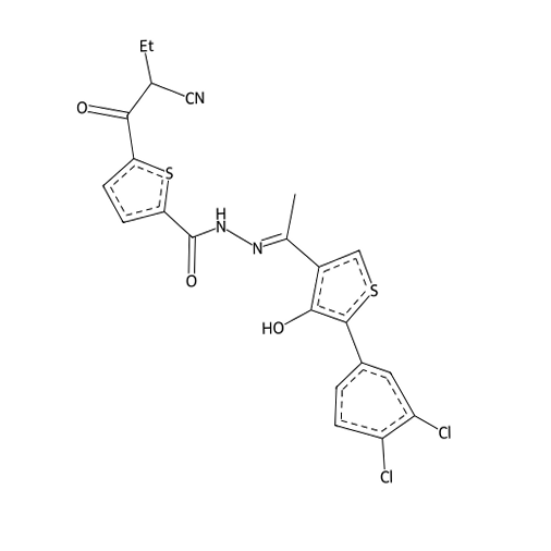 CCC(C#N)C(=O)c1ccc(C(=O)NN=C(C)c2csc(-c3ccc(Cl)c(Cl)c3)c2O)s1